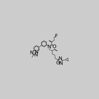 C=CC(CCCc1nc(C2CC2)no1)CN(C(=O)C(=C)CCF)c1cccc(-c2ccc3nc(C)nn3c2)c1